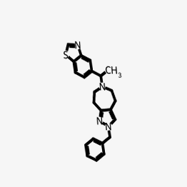 CC(c1ccc2scnc2c1)N1CCc2cn(Cc3ccccc3)nc2CC1